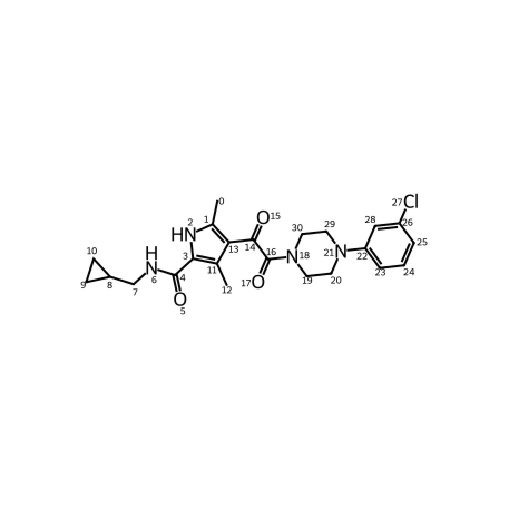 Cc1[nH]c(C(=O)NCC2CC2)c(C)c1C(=O)C(=O)N1CCN(c2cccc(Cl)c2)CC1